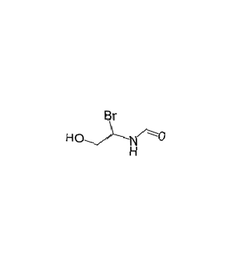 O=CNC(Br)CO